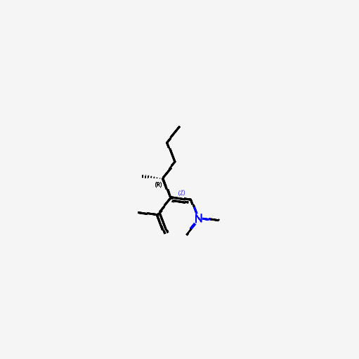 C=C(C)/C(=C\N(C)C)[C@H](C)CCC